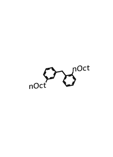 CCCCCCCCc1cccc(Cc2ccccc2CCCCCCCC)c1